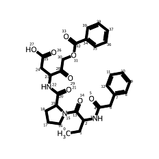 CCC(NC(=O)Cc1ccccc1)C(=O)N1CCCC1C(=O)NC(CC(=O)O)C(=O)COC(=O)c1ccccc1